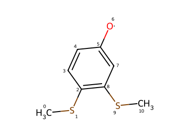 CSc1ccc([O])cc1SC